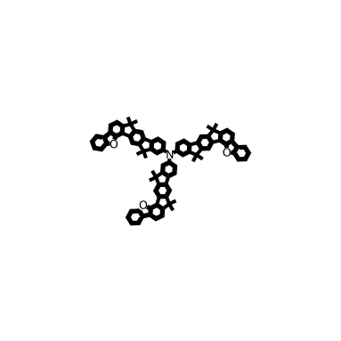 CC1(C)c2cc(N(c3ccc4c(c3)C(C)(C)c3cc5c(cc3-4)C(C)(C)c3ccc4c(oc6ccccc64)c3-5)c3ccc4c(c3)C(C)(C)c3cc5c(cc3-4)C(C)(C)c3ccc4c(oc6ccccc64)c3-5)ccc2-c2cc3c(cc21)-c1c(ccc2c1oc1ccccc12)C3(C)C